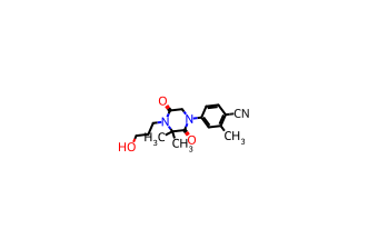 Cc1cc(N2CC(=O)N(CCCO)C(C)(C)C2=O)ccc1C#N